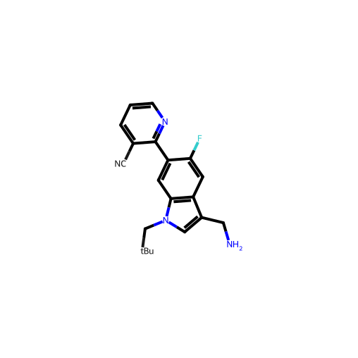 CC(C)(C)Cn1cc(CN)c2cc(F)c(-c3ncccc3C#N)cc21